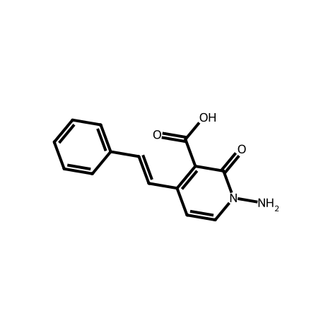 Nn1ccc(C=Cc2ccccc2)c(C(=O)O)c1=O